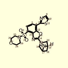 O=S(=O)(c1ccc(-c2nccs2)c2oc(N3CC4C[C@H](C3)N4)nc12)N1CCOCC1